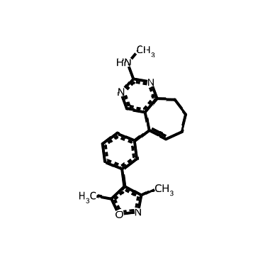 CNc1ncc2c(n1)CCCC=C2c1cccc(-c2c(C)noc2C)c1